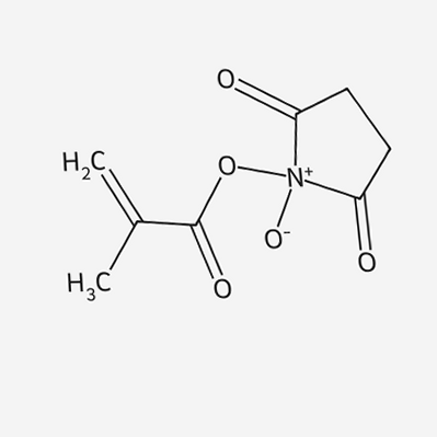 C=C(C)C(=O)O[N+]1([O-])C(=O)CCC1=O